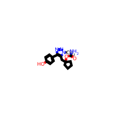 Cn1nnc(-c2ccc(O)cc2)c1CC1(OC(N)=O)CCCC1